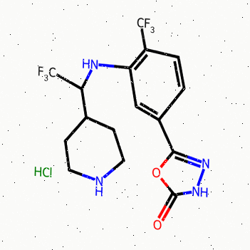 Cl.O=c1[nH]nc(-c2ccc(C(F)(F)F)c(NC(C3CCNCC3)C(F)(F)F)c2)o1